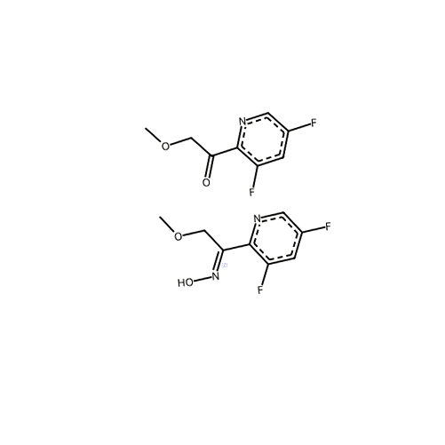 COC/C(=N\O)c1ncc(F)cc1F.COCC(=O)c1ncc(F)cc1F